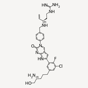 C=C[C@@H](CCNC(=N)N)NCc1ccc(-n2cc3cc(-c4cc(CCC[C@@H](N)CO)cc(Cl)c4F)[nH]c3nc2=O)cc1